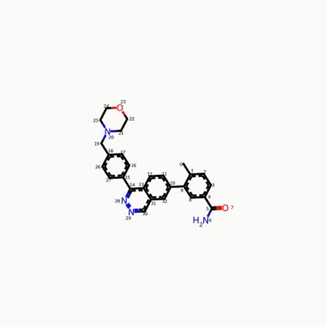 Cc1ccc(C(N)=O)cc1-c1ccc2c(-c3ccc(CN4CCOCC4)cc3)nncc2c1